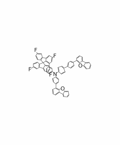 Fc1ccc2c(c1)-c1cc(F)ccc1C21c2ccc(F)cc2-c2cc(F)cc(-c3cccc(N(c4ccc(-c5ccc(-c6cccc7c6oc6ccccc67)cc5)cc4)c4ccc(-c5cccc6c5oc5ccccc56)cc4)c3)c21